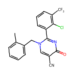 Cc1ccccc1Cn1cc(C#N)c(=O)nc1-c1cccc(C(F)(F)F)c1Cl